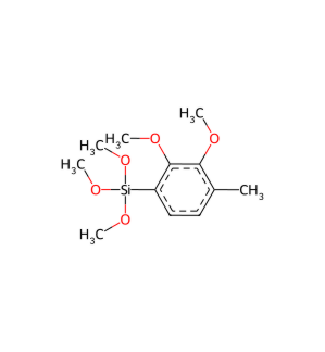 COc1c(C)ccc([Si](OC)(OC)OC)c1OC